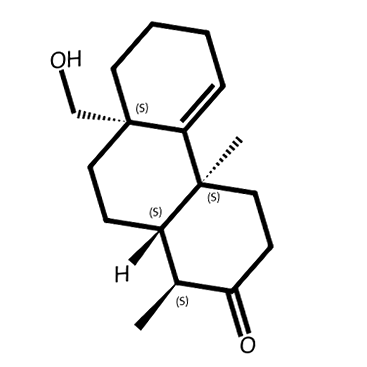 C[C@@H]1C(=O)CC[C@]2(C)C3=CCCC[C@]3(CO)CC[C@@H]12